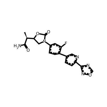 C[C@H](C(N)=O)C1CN(c2ccc(-c3ccc(-c4ncon4)nc3)c(F)c2)C(=O)O1